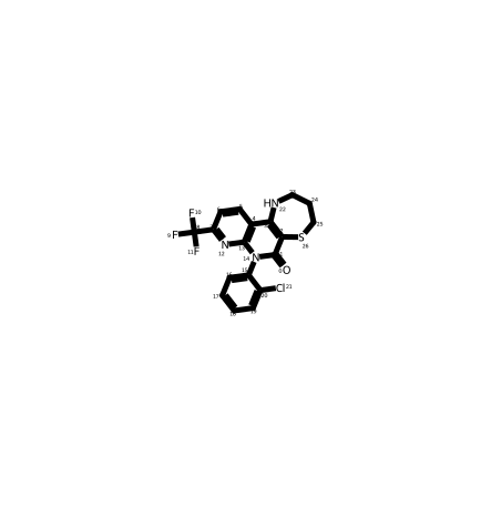 O=c1c2c(c3ccc(C(F)(F)F)nc3n1-c1ccccc1Cl)NCCCS2